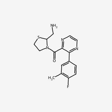 Cc1cc(-c2nccnc2C(=O)N2CCSC2CN)ccc1F